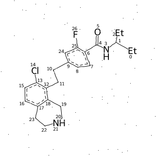 CCC(CC)NC(=O)c1ccc(CCc2c(Cl)ccc3c2CCNCC3)cc1F